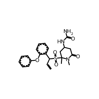 C=CC(c1ccccc1Oc1ccccc1)S(=O)(=O)C1(C)CC(NC(N)=O)CC(=O)N1C